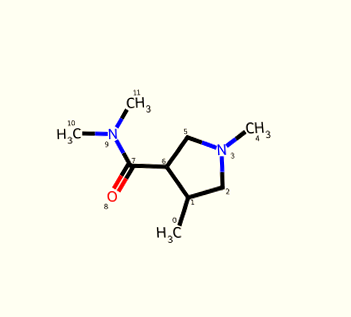 CC1CN(C)CC1C(=O)N(C)C